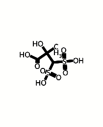 CC(O)([C](S(=O)(=O)O)S(=O)(=O)O)C(=O)O